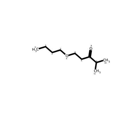 CCCCOCCC(=O)C(C)C